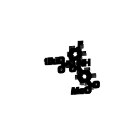 COC(=O)c1ccc(C(=O)Nc2cc(F)ccc2NC(=O)OC(C)(C)C)cc1